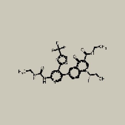 CCNC(=O)Nc1cc(-c2nc(C(F)(F)F)cs2)c(-c2ccc3c(c2)c(=O)c(C(=O)OCC)cn3[C@@H](I)CO)cn1